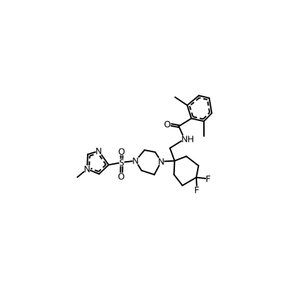 Cc1cccc(C)c1C(=O)NCC1(N2CCN(S(=O)(=O)c3cn(C)cn3)CC2)CCC(F)(F)CC1